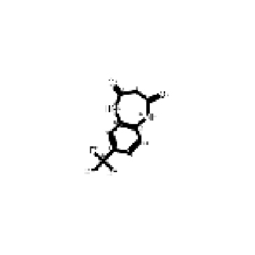 O=C1CC(=O)Nc2cc(C(F)(F)F)ccc2N1